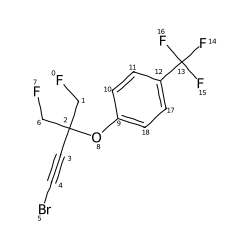 FCC(C#CBr)(CF)Oc1ccc(C(F)(F)F)cc1